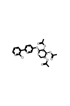 CC(=O)O[C@@H]1[C@@H](OC(C)=O)[C@H](OC(C)=O)CS[C@H]1Oc1ccc(-c2cccnc2Cl)nc1